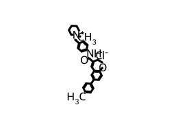 Cc1ccc(-c2ccc3c(c2)C=C(C(=O)Nc2ccc(C[N+]4(C)CCCCC4)cc2)CCO3)cc1.[Cl-]